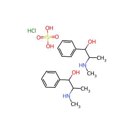 CNC(C)C(O)c1ccccc1.CNC(C)C(O)c1ccccc1.Cl.O=S(=O)(O)O